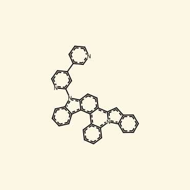 c1cncc(-c2ccnc(-n3c4ccccc4c4c5c6ccccc6n6c7ccccc7cc6c5ccc43)c2)c1